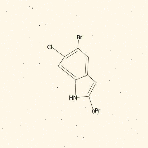 CCCc1cc2cc(Br)c(Cl)cc2[nH]1